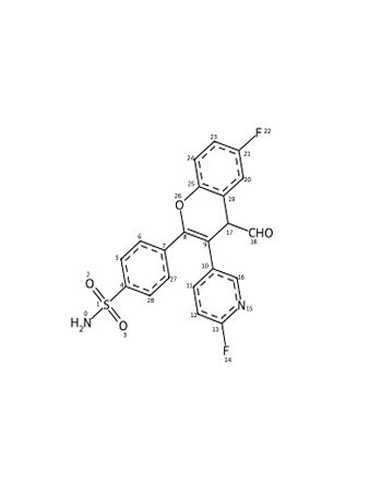 NS(=O)(=O)c1ccc(C2=C(c3ccc(F)nc3)C(C=O)c3cc(F)ccc3O2)cc1